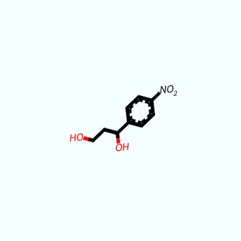 O=[N+]([O-])c1ccc(C(O)CCO)cc1